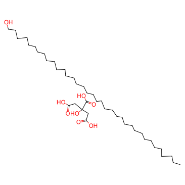 CCCCCCCCCCCCCCCCCCCCCCCCCCCCCCCCCCCCO.O=C(O)CC(O)(CC(=O)O)C(=O)O